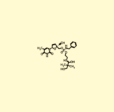 C#C[C@@]1(CO[P@](=O)(NCc2ccccc2)OCC[SH]=C(O)C(C)(C)CO)C=C[C@H](n2cc(C)c(=O)[nH]c2=O)O1